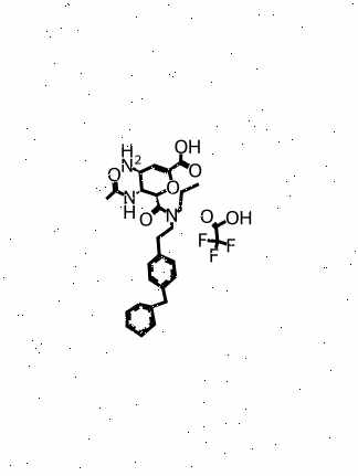 CCCN(CCc1ccc(Cc2ccccc2)cc1)C(=O)[C@@H]1OC(C(=O)O)=C[C@H](N)[C@H]1NC(C)=O.O=C(O)C(F)(F)F